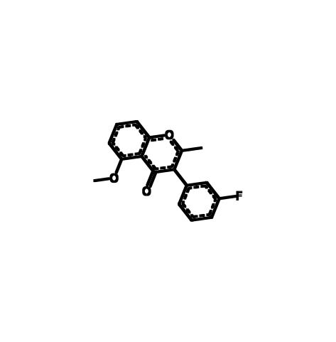 COc1cccc2oc(C)c(-c3cccc(F)c3)c(=O)c12